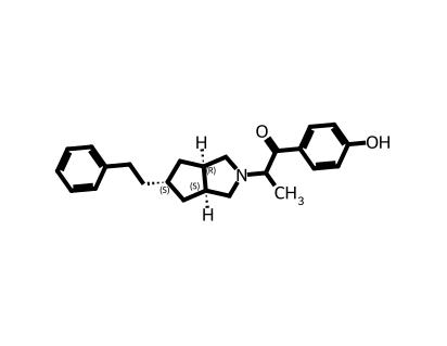 CC(C(=O)c1ccc(O)cc1)N1C[C@H]2C[C@H](CCc3ccccc3)C[C@H]2C1